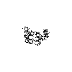 c1ccc(-n2c3ccc(-c4ccc5c6c7c(ccc6n(-c6ccccc6)c5c4)oc4ccccc47)cc3c3c4c(ccc32)oc2ccccc24)cc1